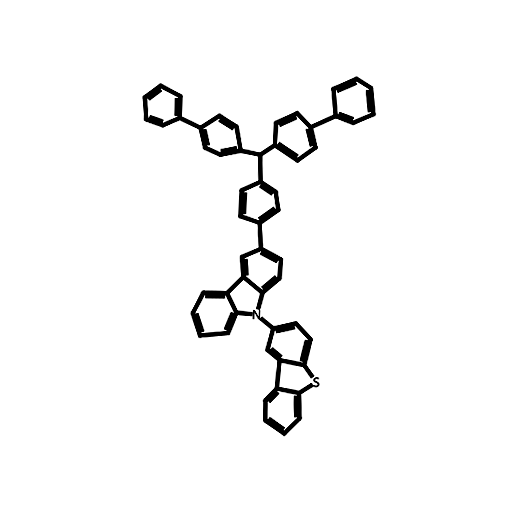 c1ccc(-c2ccc(C(c3ccc(-c4ccccc4)cc3)c3ccc(-c4ccc5c(c4)c4ccccc4n5-c4ccc5sc6ccccc6c5c4)cc3)cc2)cc1